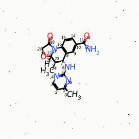 Cc1ccnc(N[C@H]2c3cc(C(N)=O)ccc3N3C(=O)CO[C@H]3[C@@H]2C)n1